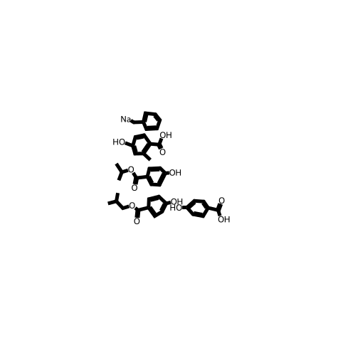 CC(C)COC(=O)c1ccc(O)cc1.CC(C)OC(=O)c1ccc(O)cc1.Cc1cc(O)ccc1C(=O)O.O=C(O)c1ccc(O)cc1.[Na][CH2]c1ccccc1